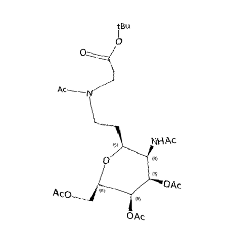 CC(=O)N[C@H]1[C@@H](OC(C)=O)[C@@H](OC(C)=O)[C@@H](COC(C)=O)O[C@H]1CCN(CC(=O)OC(C)(C)C)C(C)=O